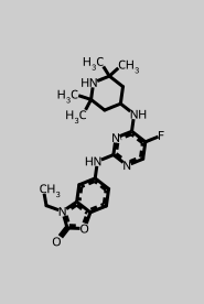 CCn1c(=O)oc2ccc(Nc3ncc(F)c(NC4CC(C)(C)NC(C)(C)C4)n3)cc21